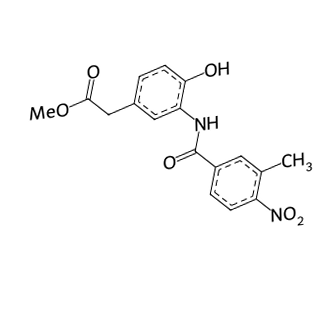 COC(=O)Cc1ccc(O)c(NC(=O)c2ccc([N+](=O)[O-])c(C)c2)c1